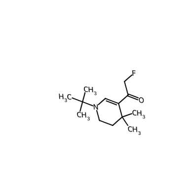 CC1(C)CCN(C(C)(C)C)C=C1C(=O)CF